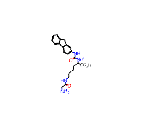 NCC(=O)NCCCCC(NC(=O)Nc1ccc2c(c1)Cc1ccccc1-2)C(=O)O